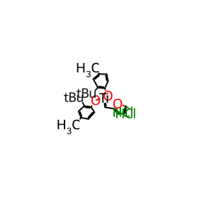 Cc1ccc([O][Ti](=[CH]c2ccco2)[O]c2ccc(C)cc2C(C)(C)C)c(C(C)(C)C)c1.Cl.Cl